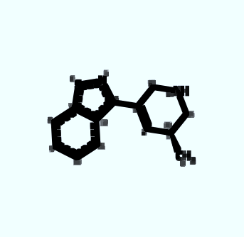 C[C@H]1C=C(c2nsc3ccccc23)CNC1